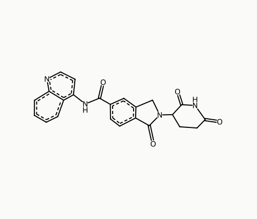 O=C1CCC(N2Cc3cc(C(=O)Nc4ccnc5ccccc45)ccc3C2=O)C(=O)N1